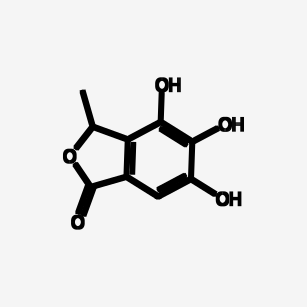 CC1OC(=O)c2cc(O)c(O)c(O)c21